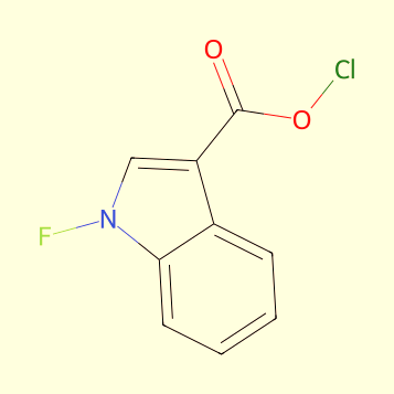 O=C(OCl)c1cn(F)c2ccccc12